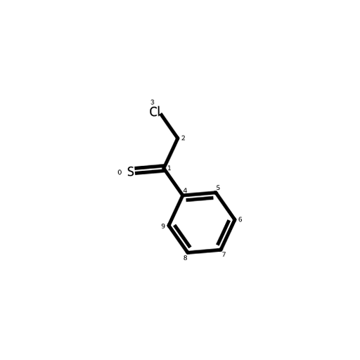 S=C(CCl)c1ccccc1